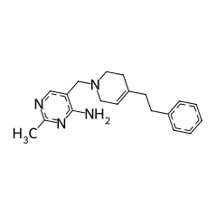 Cc1ncc(CN2CC=C(CCc3ccccc3)CC2)c(N)n1